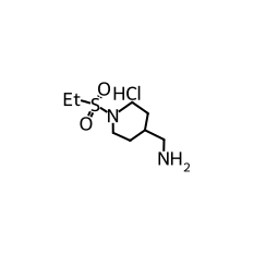 CCS(=O)(=O)N1CCC(CN)CC1.Cl